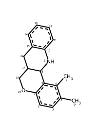 Cc1ccc2c(c1C)C1Nc3ccccc3CC1CO2